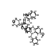 COc1ccc(Cn2c(CCc3ccccc3)nnc2[C@@H](Cc2c[nH]c3ccccc23)NC(=O)C2CCOCC2)cc1